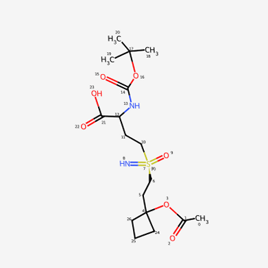 CC(=O)OC1(CC[S@](=N)(=O)CCC(NC(=O)OC(C)(C)C)C(=O)O)CCC1